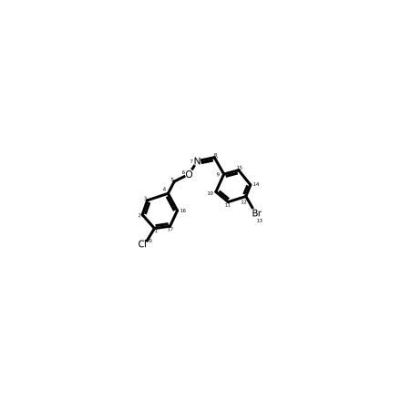 Clc1ccc(CO/N=[C]\c2ccc(Br)cc2)cc1